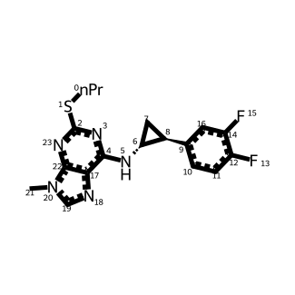 CCCSc1nc(N[C@@H]2C[C@H]2c2ccc(F)c(F)c2)c2ncn(C)c2n1